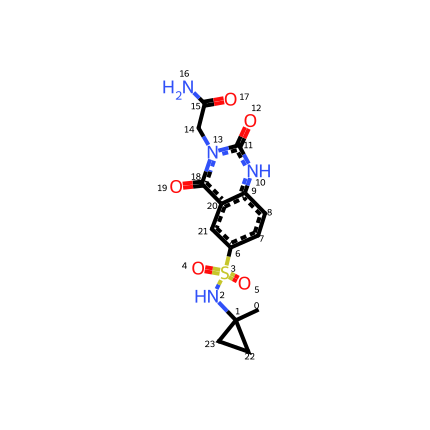 CC1(NS(=O)(=O)c2ccc3[nH]c(=O)n(CC(N)=O)c(=O)c3c2)CC1